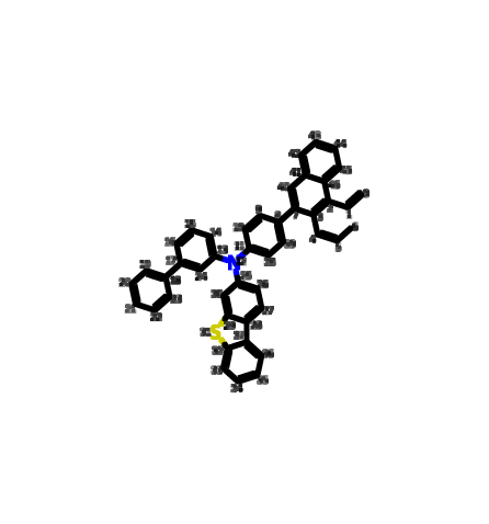 C=Cc1c(/C=C\C)c(-c2ccc(N(c3cccc(-c4ccccc4)c3)c3ccc4c(c3)sc3ccccc34)cc2)cc2ccccc12